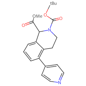 COC(=O)C1c2cccc(-c3ccncc3)c2CCN1C(=O)OC(C)(C)C